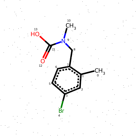 Cc1cc(Br)ccc1CN(C)C(=O)O